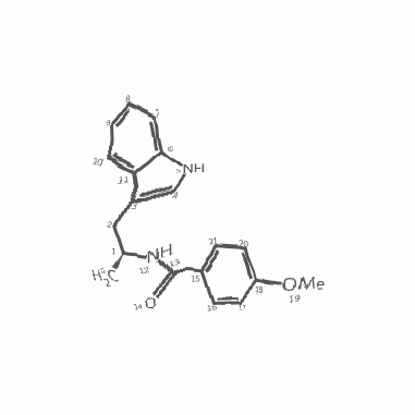 [CH2][C@@H](Cc1c[nH]c2ccccc12)NC(=O)c1ccc(OC)cc1